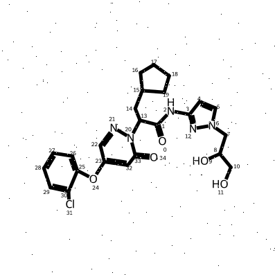 O=C(Nc1ccn(CC(O)CO)n1)C(CC1CCCC1)n1ncc(Oc2ccccc2Cl)cc1=O